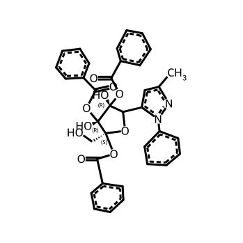 Cc1cc(C2O[C@@](CO)(OC(=O)c3ccccc3)[C@](O)(OC(=O)c3ccccc3)[C@]2(O)OC(=O)c2ccccc2)n(-c2ccccc2)n1